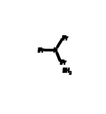 B.CC(C)N(C(C)C)C(C)C